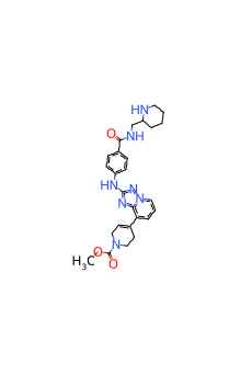 COC(=O)N1CC=C(c2cccn3nc(Nc4ccc(C(=O)NCC5CCCCN5)cc4)nc23)CC1